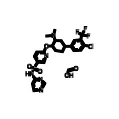 CN(C)C1CC(c2ccc(Cl)c(C(F)(F)F)c2)CCC1Oc1ccc(S(=O)(=O)Nc2ccncn2)cn1.O=CO